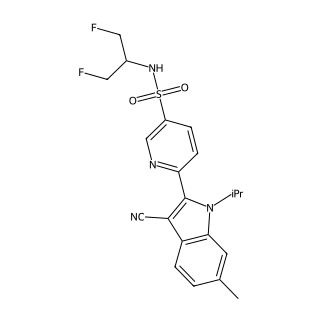 Cc1ccc2c(C#N)c(-c3ccc(S(=O)(=O)NC(CF)CF)cn3)n(C(C)C)c2c1